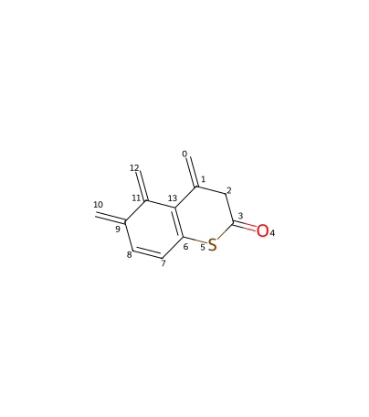 C=C1CC(=O)Sc2ccc(=C)c(=C)c21